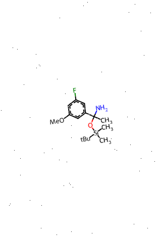 COc1cc(F)cc(C(C)(N)O[Si](C)(C)C(C)(C)C)c1